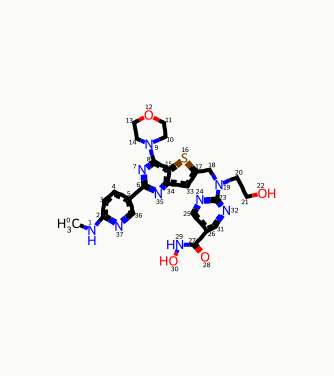 CNc1ccc(-c2nc(N3CCOCC3)c3sc(CN(CCO)c4ncc(C(=O)NO)cn4)cc3n2)cn1